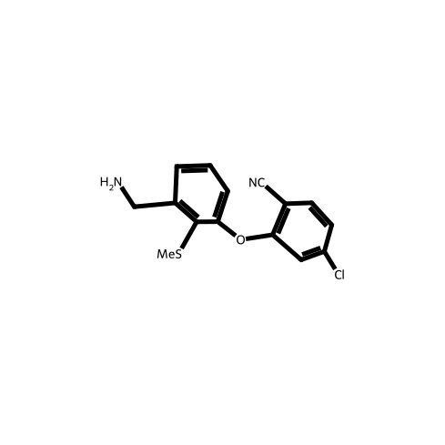 CSc1c(CN)cccc1Oc1cc(Cl)ccc1C#N